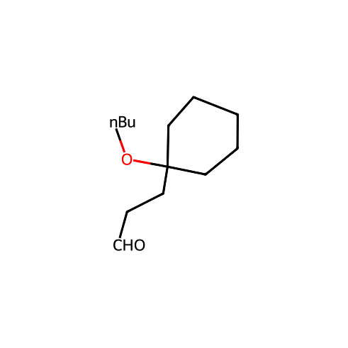 CCCCOC1(CCC=O)CCCCC1